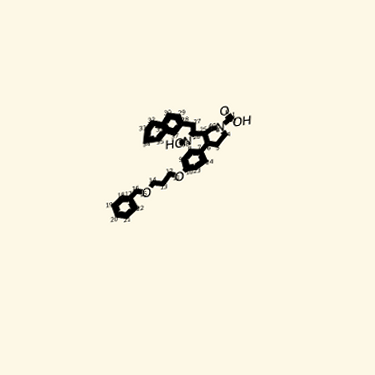 O=C(O)N1CCC(c2ccc(OCCCOCc3ccccc3)cc2)C(C(Cc2ccc3ccccc3c2)=NO)C1